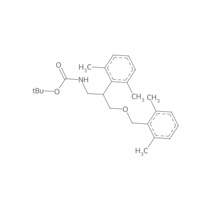 Cc1cccc(C)c1COCC(CNC(=O)OC(C)(C)C)c1c(C)cccc1C